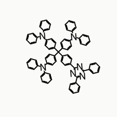 c1ccc(-c2nc(-c3ccccc3)nc(-c3ccc(C(c4ccc(N(c5ccccc5)c5ccccc5)cc4)(c4ccc(N(c5ccccc5)c5ccccc5)cc4)c4ccc(N(c5ccccc5)c5ccccc5)cc4)cc3)n2)cc1